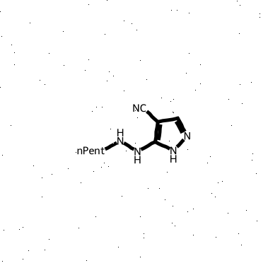 CCCCCNNc1[nH]ncc1C#N